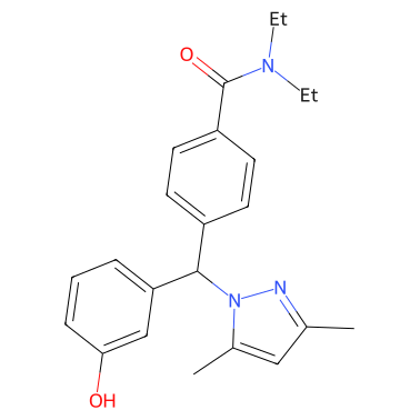 CCN(CC)C(=O)c1ccc(C(c2cccc(O)c2)n2nc(C)cc2C)cc1